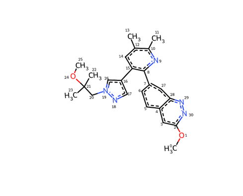 COc1cc2ccc(-c3nc(C)c(C)cc3-c3cnn(CC(C)(C)OC)c3)cc2nn1